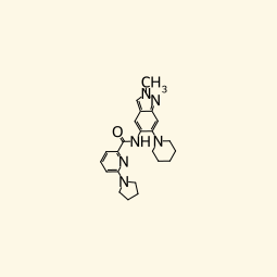 Cn1cc2cc(NC(=O)c3cccc(N4CCCC4)n3)c(N3CCCCC3)cc2n1